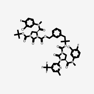 Cc1cc(C(F)(F)F)cc(N2C(=O)N(C(=O)OC(C)(C)Cc3cccc(COC(=O)N4C(=O)N(C(=O)OC(C)(C)C)C[C@H]4C(=O)N(C)c4ccc(F)c(Cl)c4)c3)C[C@H]2C(=O)N(C)c2ccc(F)c(Cl)c2)n1